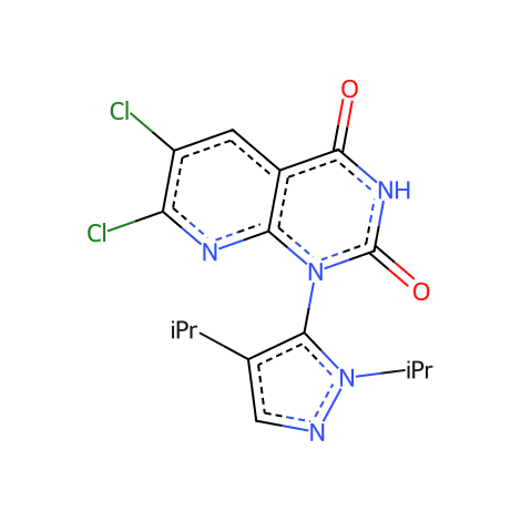 CC(C)c1cnn(C(C)C)c1-n1c(=O)[nH]c(=O)c2cc(Cl)c(Cl)nc21